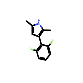 Cc1cc(-c2c(F)cccc2F)c(C)[nH]1